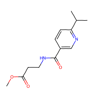 COC(=O)CCNC(=O)c1ccc(C(C)C)nc1